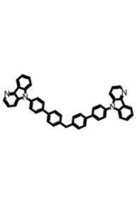 c1ccc2c(c1)c1ncccc1n2-c1ccc(-c2ccc(Cc3ccc(-c4ccc(-n5c6ccccc6c6ncccc65)cc4)cc3)cc2)cc1